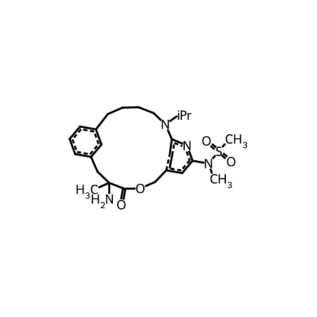 CC(C)N1CCCCc2cccc(c2)CC(C)(N)C(=O)OCc2cc1nc(N(C)S(C)(=O)=O)c2